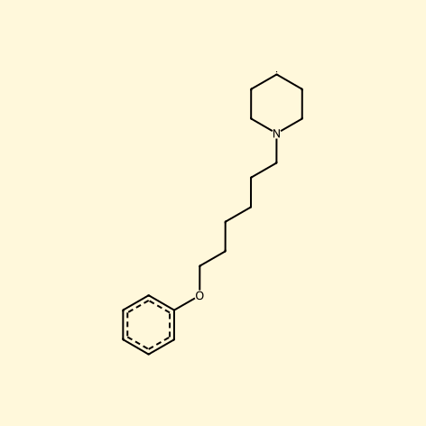 [CH]1CCN(CCCCCCOc2ccccc2)CC1